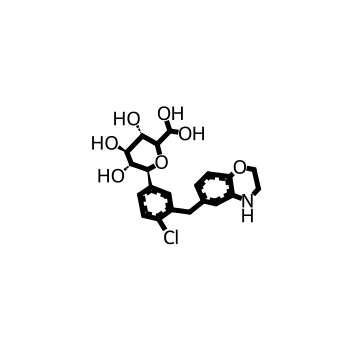 OC(O)C1O[C@@H](c2ccc(Cl)c(Cc3ccc4c(c3)NCCO4)c2)[C@H](O)[C@@H](O)[C@@H]1O